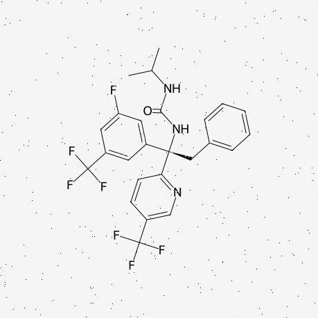 CC(C)NC(=O)N[C@@](Cc1ccccc1)(c1cc(F)cc(C(F)(F)F)c1)c1ccc(C(F)(F)F)cn1